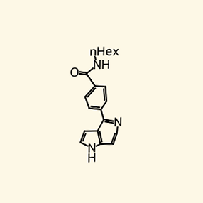 CCCCCCNC(=O)c1ccc(-c2nccc3[nH]ccc23)cc1